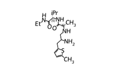 CCNC(=O)[C@@H](NC(=O)[C@H](C)NCC(N)Cc1ccc(C)s1)C(C)C